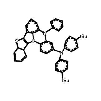 CC(C)(C)c1ccc(N(c2ccc(C(C)(C)C)cc2)c2ccc3c(c2)N(c2ccccc2)c2cccc4c2B3C2=C4SC3C=CC=CC23)cc1